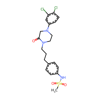 CS(=O)(=O)Nc1ccc(CCCN2CCN(c3ccc(Cl)c(Cl)c3)CC2=O)cc1